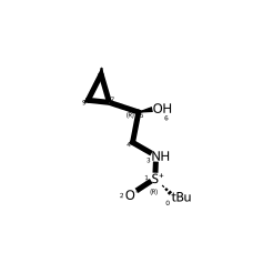 CC(C)(C)[S@+]([O-])NC[C@H](O)C1CC1